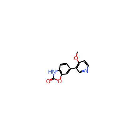 COc1ccncc1-c1ccc2[nH]c(=O)oc2c1